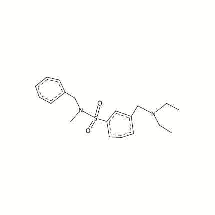 CCN(CC)Cc1cccc(S(=O)(=O)N(C)Cc2ccccc2)c1